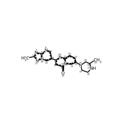 Cc1nc2ncc(-c3cc(=O)n4cc(N5CCNC(C)C5)ccc4n3)cn2n1